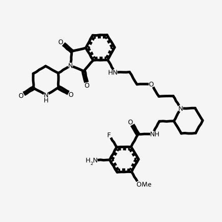 COc1cc(N)c(F)c(C(=O)NCC2CCCCN2CCOCCNc2cccc3c2C(=O)N(C2CCC(=O)NC2=O)C3=O)c1